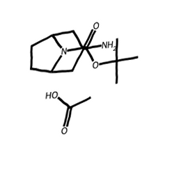 CC(=O)O.CC(C)(C)OC(=O)N1C2CCC1CC(N)C2